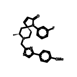 COc1ccc(-c2csc(CN3CC[C@@]4(C=CC(=O)N4c4cccc(F)c4)C[C@H]3C)n2)cc1